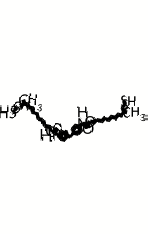 CC(CCCCCCCCCOC(=O)Nc1ccc(Cc2ccc(NC(=O)OCCCCCCCCCC(C)CSS)cc2)cc1)CSS